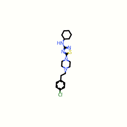 Clc1ccc(CCN2CCN(c3nc(NC4CCCCC4)ns3)CC2)cc1